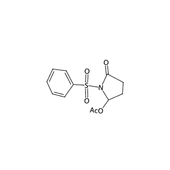 CC(=O)OC1CCC(=O)N1S(=O)(=O)c1ccccc1